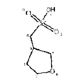 O=S(=O)(O)CC1CCOC1